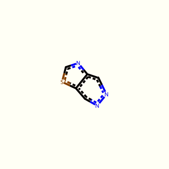 [c]1nncc2scnc12